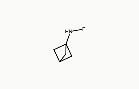 FNC12CC(C1)C2